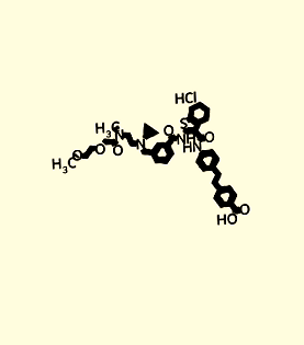 COCCOCC(=O)N(C)CCN(Cc1cccc(C(=O)Nc2sc3c(c2C(=O)Nc2ccc(CCc4ccc(C(=O)O)cc4)cc2)CCCC3)c1)C1CC1.Cl